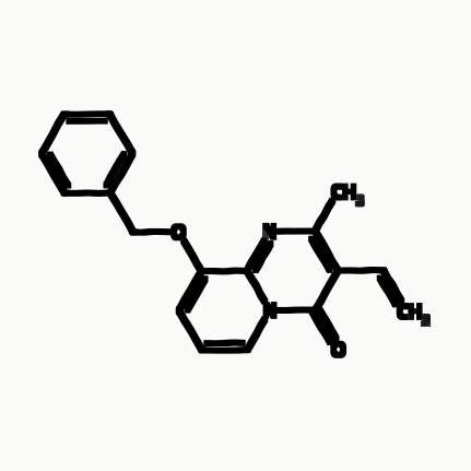 C=Cc1c(C)nc2c(OCc3ccccc3)cccn2c1=O